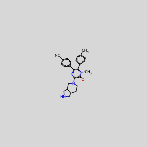 Cc1ccc(-c2c(-c3ccc(C#N)cc3)nc(N3CCC4CNCC4C3)c(=O)n2C)cc1